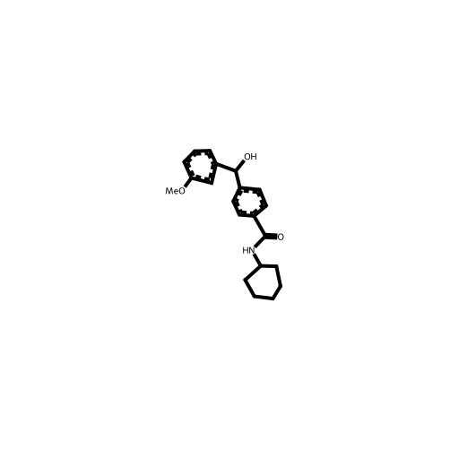 COc1cccc(C(O)c2ccc(C(=O)NC3CCCCC3)cc2)c1